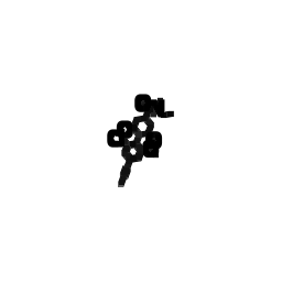 CC#Cc1cc(Cl)c(C2C(=O)CC(C(=O)N(C)CC)CC2=O)c(OC)c1